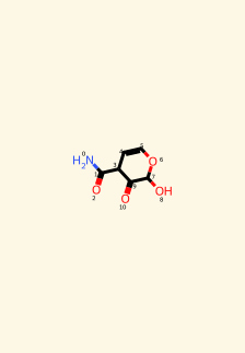 NC(=O)C1C=COC(O)C1=O